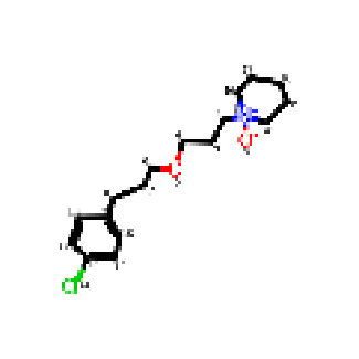 [O-][N+]1(CCCOCCCc2ccc(Cl)cc2)CCCCC1